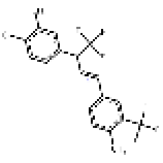 Cc1cc(C(/C=C/c2ccc(C)c(C(F)(F)F)c2)C(F)(F)F)ccc1Cl